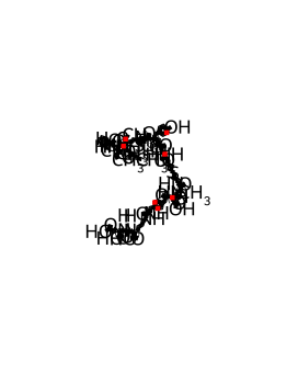 CCCC(=O)OCN(C(=O)[C@@H](NC(=O)[C@H]1CCCCN1C)C(C)CC)[C@H](CCc1nc(C(=O)N[C@@H](Cc2ccc(O)cc2)C[C@H](C)C(=O)NNC(=O)OCCSSCCNC(=O)[C@H](C)NC(=O)[C@H](CC(=O)O)NC(=O)Cc2ccc(CNC(=O)NCCCC[C@H](NC(=O)N[C@@H](CCC(=O)O)C(=O)O)C(=O)O)cc2)cs1)C(C)C